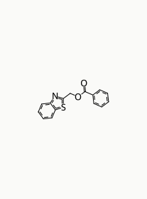 O=C(OCc1nc2ccccc2s1)c1ccccc1